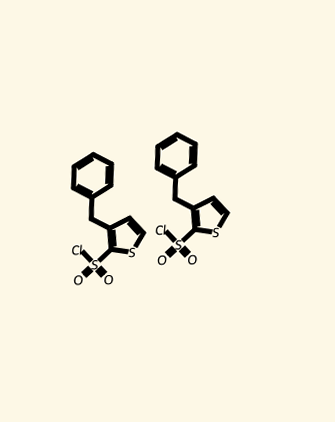 O=S(=O)(Cl)c1sccc1Cc1ccccc1.O=S(=O)(Cl)c1sccc1Cc1ccccc1